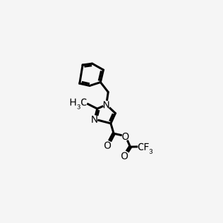 Cc1nc(C(=O)OC(=O)C(F)(F)F)cn1Cc1ccccc1